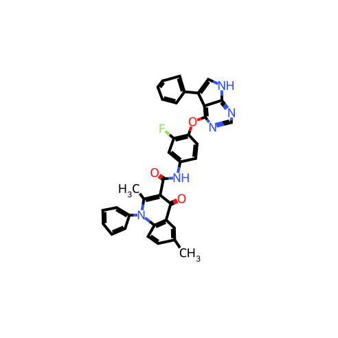 Cc1ccc2c(c1)c(=O)c(C(=O)Nc1ccc(Oc3ncnc4[nH]cc(-c5ccccc5)c34)c(F)c1)c(C)n2-c1ccccc1